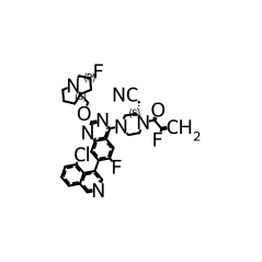 C=C(F)C(=O)N1CCN(c2nc(OC[C@@]34CCCN3C[C@H](F)C4)nc3cc(-c4cncc5cccc(Cl)c45)c(F)cc23)C[C@@H]1CC#N